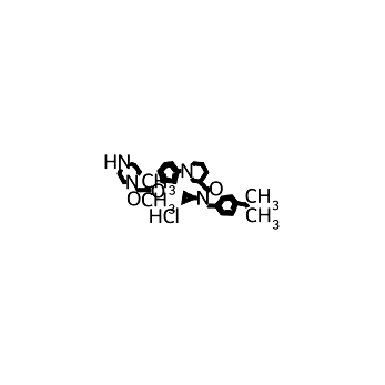 CC(C)c1ccc(CN(C(=O)C2CCCN(c3cccc(OC(C)(C)C(=O)N4CCNCC4)c3)C2)C2CC2)cc1.Cl